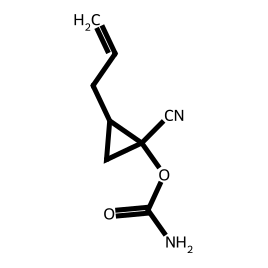 C=CCC1CC1(C#N)OC(N)=O